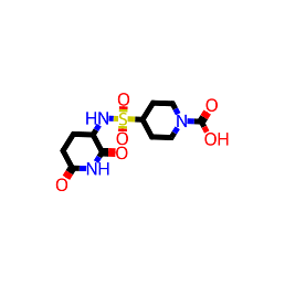 O=C1CCC(NS(=O)(=O)C2CCN(C(=O)O)CC2)C(=O)N1